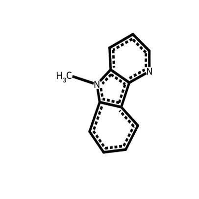 Cn1c2ccccc2c2ncccc21